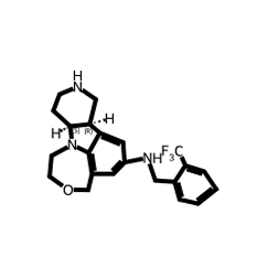 FC(F)(F)c1ccccc1CNc1cc2c3c(c1)[C@@H]1CNCC[C@@H]1N3CCOC2